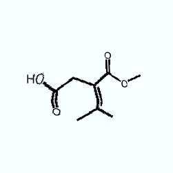 COC(=O)C(CC(=O)O)=C(C)C